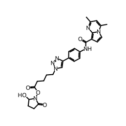 Cc1cc(C)n2ccc(C(=O)Nc3ccc(-c4cn(CCCCC(=O)ON5C(=O)CCC5O)nn4)cc3)c2n1